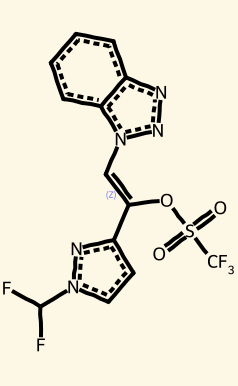 O=S(=O)(O/C(=C\n1nnc2ccccc21)c1ccn(C(F)F)n1)C(F)(F)F